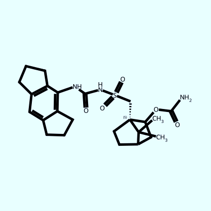 CC1(C)C2CC[C@@]1(CS(=O)(=O)NC(=O)Nc1c3c(cc4c1CCC4)CCC3)C(OC(N)=O)C2